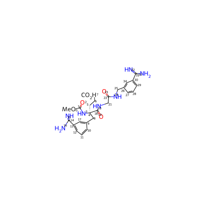 COC(=O)N[C@](CCC(=O)O)(Cc1cccc(C(=N)N)c1)C(=O)NCC(=O)NCc1cccc(C(=N)N)c1